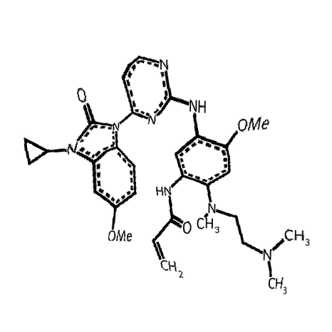 C=CC(=O)Nc1cc(Nc2nccc(-n3c(=O)n(C4CC4)c4cc(OC)ccc43)n2)c(OC)cc1N(C)CCN(C)C